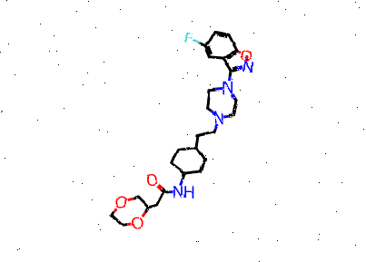 O=C(CC1COCCO1)NC1CCC(CCN2CCN(c3noc4ccc(F)cc34)CC2)CC1